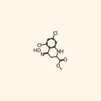 COC(=O)C1C/C(=N/O)c2c(Cl)cc(Cl)cc2N1